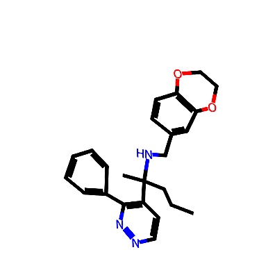 CCCC(C)(NCc1ccc2c(c1)OCCO2)c1ccnnc1-c1ccccc1